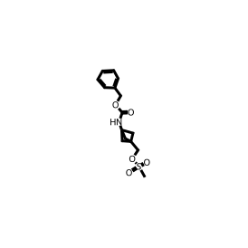 CS(=O)(=O)OCC12CC(NC(=O)OCc3ccccc3)(C1)C2